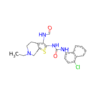 CCN1CCc2c(sc(NC(=O)Nc3ccc(Cl)c4ccccc34)c2NC=O)C1